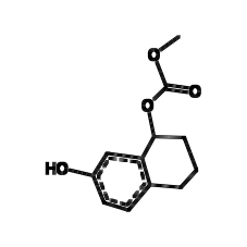 COC(=O)OC1CCCc2ccc(O)cc21